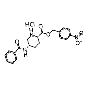 Cl.O=C(N[C@H]1CC[C@H](C(=O)OCc2ccc([N+](=O)[O-])cc2)NC1)c1ccccc1